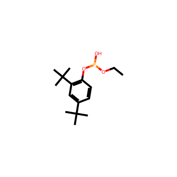 CCOP(O)Oc1ccc(C(C)(C)C)cc1C(C)(C)C